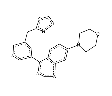 c1csc(Cc2cncc(-c3ncnc4cc(N5CCOCC5)ccc34)c2)n1